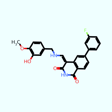 COc1ccc(CNC=C2C(=O)NC(=O)c3ccc(-c4cccc(F)c4)cc32)cc1O